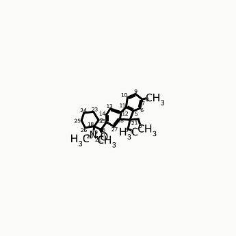 CCC1(CC)c2cc(C)ccc2-c2ccc(C(=O)C3(N(C)C)CCCCC3)cc21